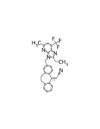 CCc1nc2c(C(F)(F)F)cc(C)nc2n1Cc1ccc2c(c1)CCc1ccccc1/C2=C/C#N